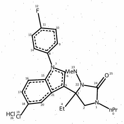 CCCN1CC(CC)(c2cn(-c3ccc(F)cc3)c3ccc(Cl)cc23)N(NC)C1=O.Cl